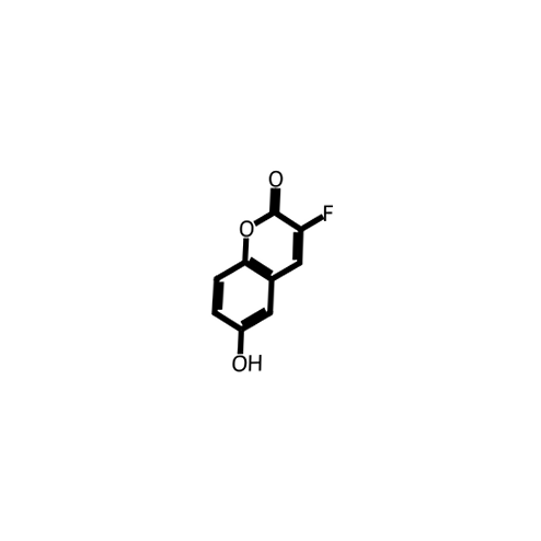 O=c1oc2ccc(O)cc2cc1F